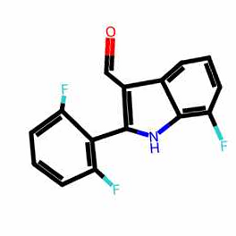 O=Cc1c(-c2c(F)cccc2F)[nH]c2c(F)cccc12